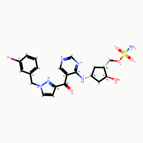 NS(=O)(=O)OC[C@H]1C[C@@H](Nc2ncncc2C(=O)c2ccn(Cc3cccc(I)c3)n2)C[C@@H]1O